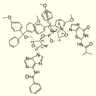 COc1ccc(C(OC[C@H]2O[C@@H](n3cnc4c(NC(=O)c5ccccc5)ncnc43)[C@H](F)[C@@H]2OP(OCCC#N)OC[C@H]2O[C@@H](n3cnc4c(=O)[nH]c(NC(=O)C(C)C)nc43)[C@H](F)[C@@H]2OC(c2ccccc2)(c2ccc(OC)cc2)c2ccc(OC)cc2)(c2ccccc2)c2ccc(OC)cc2)cc1